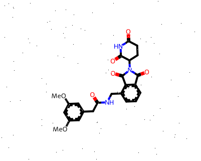 COc1cc(CC(=O)NCc2cccc3c2C(=O)N(C2CCC(=O)NC2=O)C3=O)cc(OC)c1